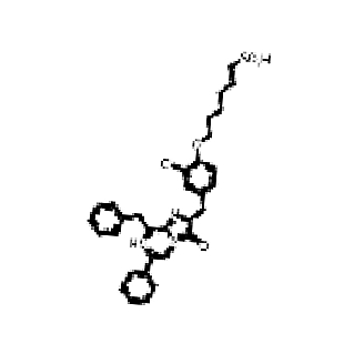 O=c1c(Cc2ccc(OCCCCCCS(=O)(=O)O)c(Cl)c2)nc2c(Cc3ccccc3)[nH]c(-c3ccccc3)cn1-2